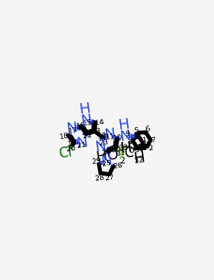 O=C(O)[C@H]1C2CCC(CC2)[C@@H]1Nc1nc(-c2c[nH]c3ncc(Cl)nc23)nc(N2CCCC2)c1F